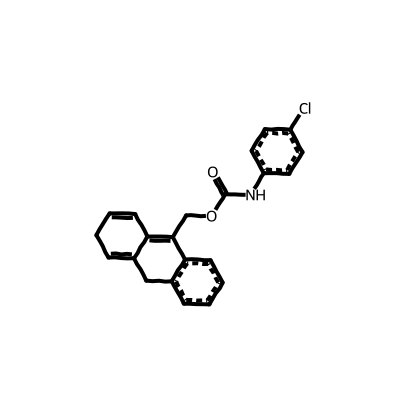 O=C(Nc1ccc(Cl)cc1)OCC1=C2C=CCC=C2Cc2ccccc21